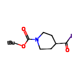 CC(C)(C)OC(=O)N1CCC(C(=O)I)CC1